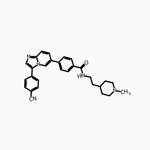 CN1CCC(CCNC(=O)c2ccc(-c3ccc4ncc(-c5ccc(C#N)cc5)n4c3)cc2)CC1